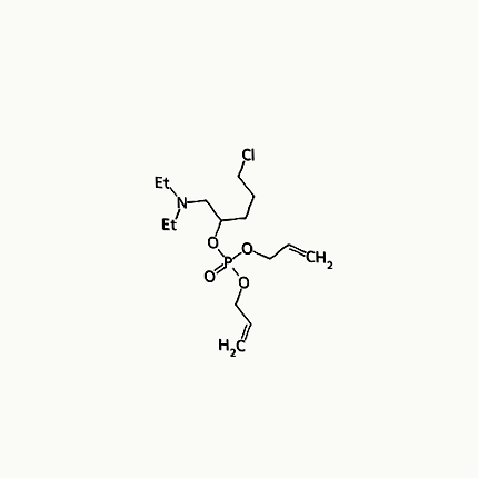 C=CCOP(=O)(OCC=C)OC(CCCCl)CN(CC)CC